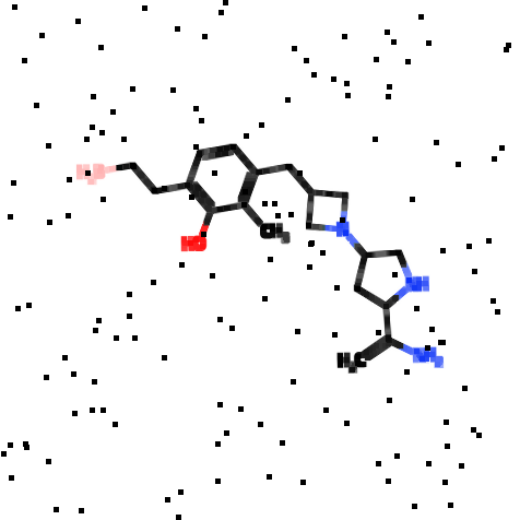 BCCc1ccc(CC2CN(C3CNC(C(=C)N)C3)C2)c(C)c1O